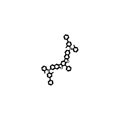 Cc1ccccc1N(c1ccc2cc3c(cc2c1)oc1c(-c2ccccc2)c2oc4cc5cc(N(c6ccccc6C)c6ccc(-c7ccccc7)cc6C)ccc5cc4c2cc13)c1ccc(-c2ccccc2)cc1C